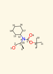 C[C@@H]([C]=O)N(C(=O)OC(C)(C)C)C1CCCCC1